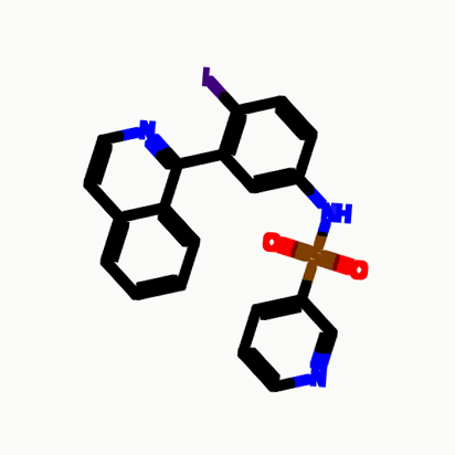 O=S(=O)(Nc1ccc(I)c(-c2nccc3ccccc23)c1)c1cccnc1